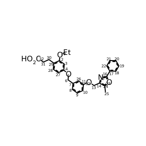 CCOc1cc(OCc2cccc(OCc3nc(-c4ccccc4)oc3C)c2)ccc1CCC(=O)O